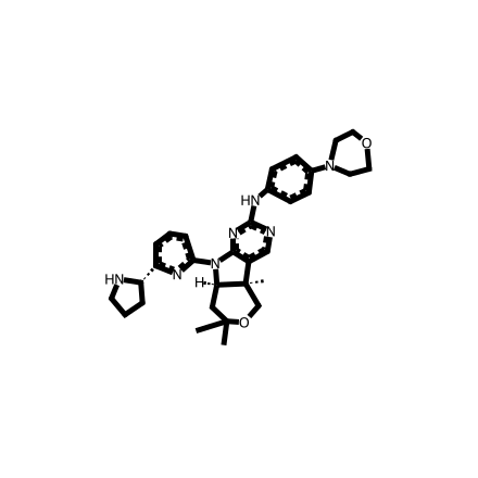 CC1(C)C[C@H]2N(c3cccc([C@@H]4CCCN4)n3)c3nc(Nc4ccc(N5CCOCC5)cc4)ncc3[C@@]2(C)CO1